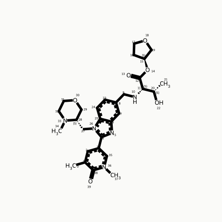 Cc1cc(-c2nc3cc(CN[C@H](C(=O)O[C@H]4CCOC4)[C@H](C)O)ccc3n2C[C@H]2COCCN2C)cn(C)c1=O